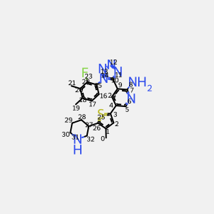 Cc1cc(-c2cnc(N)c(-c3nnnn3-c3ccc(C)c(C)c3F)c2)sc1C1CCCNC1